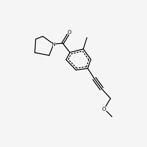 COCC#Cc1ccc(C(=O)N2CCCC2)c(C)c1